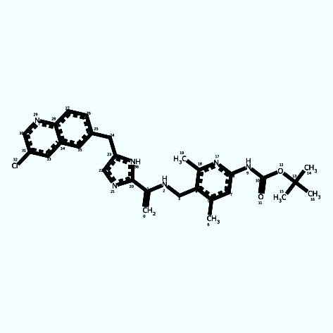 C=C(NCc1c(C)cc(NC(=O)OC(C)(C)C)nc1C)c1ncc(Cc2ccc3ncc(Cl)cc3c2)[nH]1